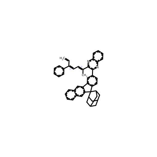 C=C/C(=C\C=C(/C)c1nc2ccccc2nc1-c1ccc2c(c1)-c1cc3ccccc3cc1C21C2CC3CC(C2)CC1C3)c1ccccc1